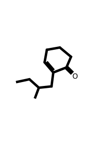 CCC(C)CC1=CCCCC1=O